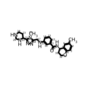 Cc1ccc2c(c1)[C@H](NC(=O)c1cccc(NCc3nnc(C4CCNCN4)n3C)c1)CCO2